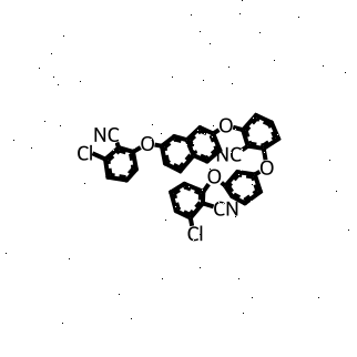 N#Cc1c(Cl)cccc1Oc1cccc(Oc2cccc(Oc3ccc4ccc(Oc5cccc(Cl)c5C#N)cc4c3)c2C#N)c1